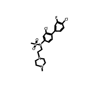 CN1CCN(CCN(c2ccc(-c3ccc(Cl)c(F)c3)c(Cl)c2)S(C)(=O)=O)CC1